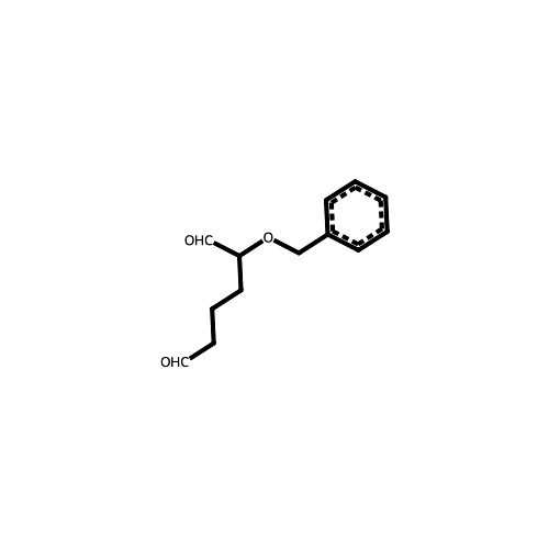 O=CCCCC(C=O)OCc1ccccc1